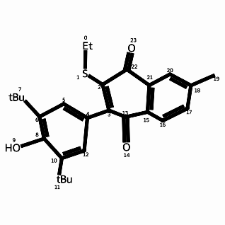 CCSC1=C(c2cc(C(C)(C)C)c(O)c(C(C)(C)C)c2)C(=O)c2ccc(C)cc2C1=O